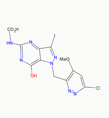 COc1cc(Cl)nnc1Cn1nc(I)c2nc(NC(=O)O)nc(O)c21